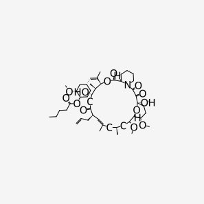 C=CC[C@@H]1/C=C(\C)C[C@H](C)C[C@H](OC)[C@H]2O[C@@](O)(C(=O)C(=O)N3CCCC[C@H]3C(=O)O[C@H](/C(C)=C\[C@@H]3CC[C@@H](OC(=O)CCCC)[C@H](OC)C3)[C@H](C)[C@@H](O)CC1=O)[C@H](C)C[C@@H]2OC